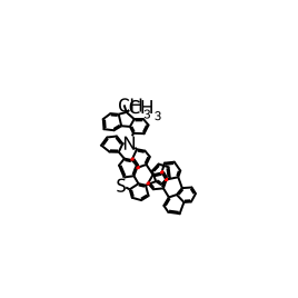 CC1(C)c2ccccc2-c2c(N(c3ccc(-c4ccc(-c5cccc6cccc(-c7ccccc7)c56)cc4)cc3)c3ccccc3-c3ccc4c(c3)sc3cccc(-c5ccccc5)c34)cccc21